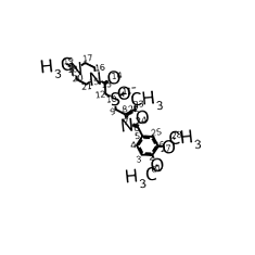 COc1ccc(-c2nc(C[S+]([O-])CC(=O)N3CCN(C)CC3)c(C)o2)cc1OC